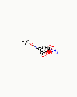 CCCCOCCCNCc1ccc(CC)c(-c2ccc(O)c3c2C[C@H]2C[C@H]4CC(O)=C(C(N)=O)C(=O)[C@@]4(O)C(O)=C2C3=O)c1